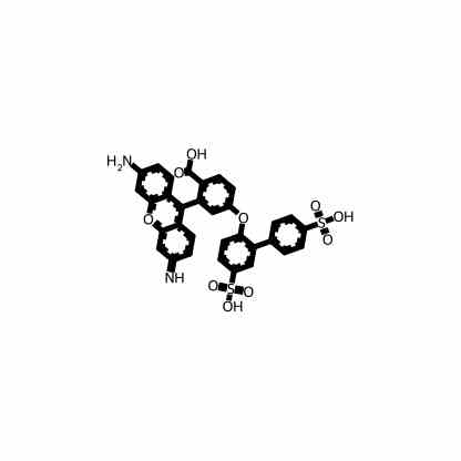 N=c1ccc2c(-c3cc(Oc4ccc(S(=O)(=O)O)cc4-c4ccc(S(=O)(=O)O)cc4)ccc3C(=O)O)c3ccc(N)cc3oc-2c1